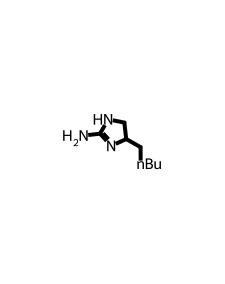 CCCCCC1CNC(N)=N1